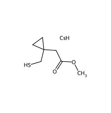 COC(=O)CC1(CS)CC1.[CsH]